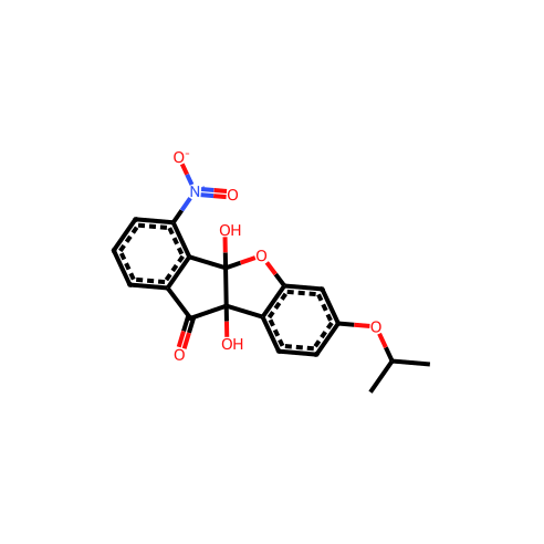 CC(C)Oc1ccc2c(c1)OC1(O)c3c(cccc3[N+](=O)[O-])C(=O)C21O